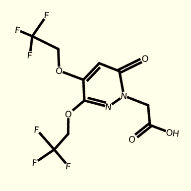 O=C(O)Cn1nc(OCC(F)(F)F)c(OCC(F)(F)F)cc1=O